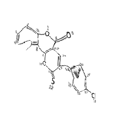 O=c1oc2ccccc2c2oc(=S)c(-c3ccc(Cl)cc3)cc12